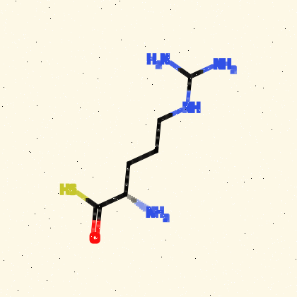 NC(N)NCCC[C@H](N)C(=O)S